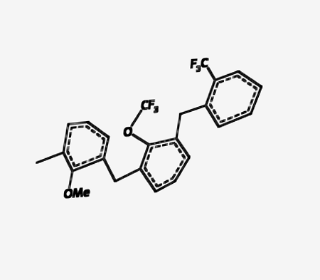 COc1c(C)cccc1Cc1cccc(Cc2ccccc2C(F)(F)F)c1OC(F)(F)F